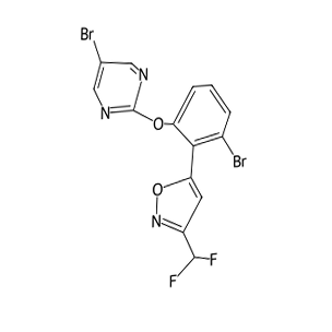 FC(F)c1cc(-c2c(Br)cccc2Oc2ncc(Br)cn2)on1